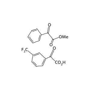 COC(=O)C(=O)c1ccccc1.O=C(O)C(=O)c1cccc(C(F)(F)F)c1